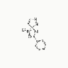 O=[N+]([O-])C1(NCc2ccccc2)C=CN=N1